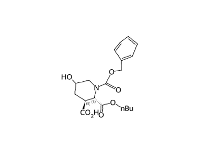 CCCCOC(=O)[C@@H]1[C@@H](C(=O)O)CC(O)CN1C(=O)OCc1ccccc1